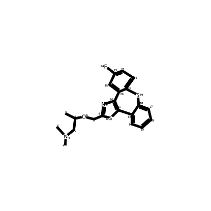 CC(CN(C)C)OCc1nc2c(s1)-c1ccccc1Sc1ccc(F)cc1-2